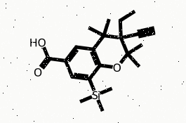 C#CC1(CC)C(C)(C)Oc2c(cc(C(=O)O)cc2[Si](C)(C)C)C1(C)C